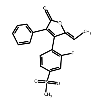 C/C=C1\OC(=O)C(c2ccccc2)=C1c1ccc(S(C)(=O)=O)cc1F